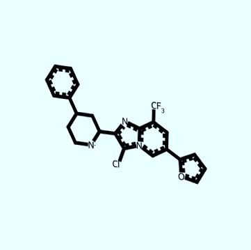 FC(F)(F)c1cc(-c2ccco2)cn2c(Cl)c(C3CC(c4ccccc4)CC[N]3)nc12